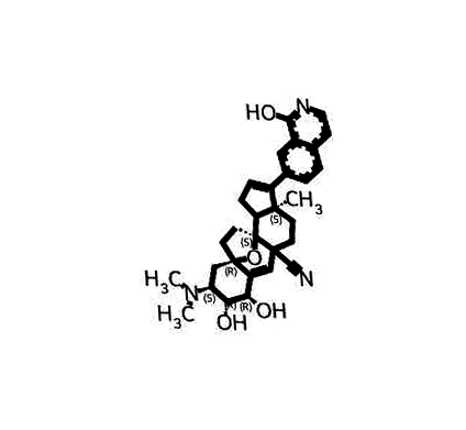 CN(C)[C@H]1C[C@@]23CC[C@]4(O2)C2CC=C(c5ccc6ccnc(O)c6c5)[C@@]2(C)CCC4(C#N)C=C3[C@@H](O)[C@@H]1O